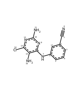 N#Cc1cccc(Nc2nc(N)nc(Cl)c2N)c1